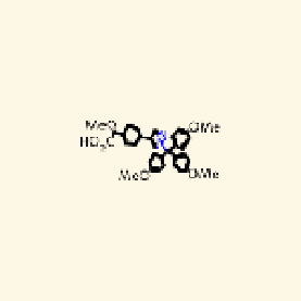 COc1ccc(C(c2ccc(OC)cc2)(c2ccc(OC)cc2)n2cc(-c3ccc(C(OC)C(=O)O)cc3)cn2)cc1